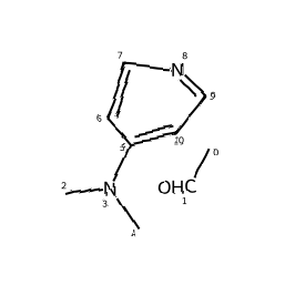 CC=O.CN(C)c1ccncc1